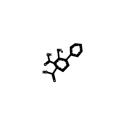 Nc1c(-c2ccccc2)ccc(C(=O)O)c1C(=O)O